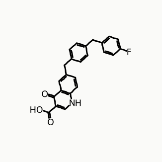 O=C(O)c1c[nH]c2ccc(Cc3ccc(Cc4ccc(F)cc4)cc3)cc2c1=O